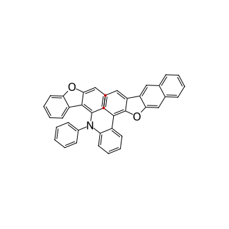 c1ccc(N(c2ccccc2-c2cccc3c2oc2cc4ccccc4cc23)c2cccc3oc4ccccc4c23)cc1